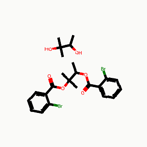 CC(O)C(C)(C)O.CC(OC(=O)c1ccccc1Br)C(C)(C)OC(=O)c1ccccc1Br